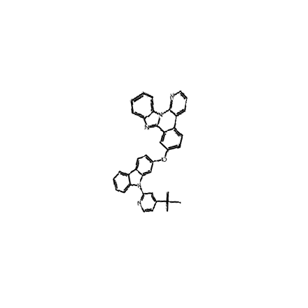 CC(C)(C)c1ccnc(-n2c3ccccc3c3ccc(Oc4ccc5c6cccnc6n6c7ccccc7nc6c5c4)cc32)c1